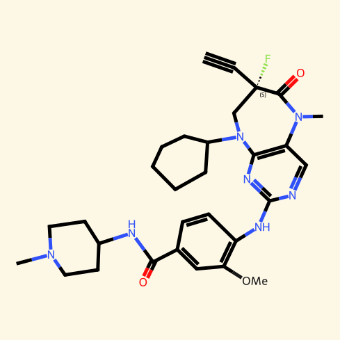 C#C[C@]1(F)CN(C2CCCCC2)c2nc(Nc3ccc(C(=O)NC4CCN(C)CC4)cc3OC)ncc2N(C)C1=O